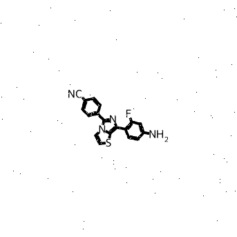 N#Cc1ccc(-c2nc(-c3ccc(N)cc3F)c3sccn23)cc1